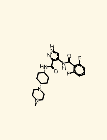 CN1CCN([C@H]2CC[C@@H](NC(=O)c3n[nH]cc3NC(=O)c3c(F)cccc3F)CC2)CC1